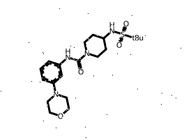 CC(C)(C)S(=O)(=O)NC1CCN(C(=O)Nc2cccc(N3CCOCC3)c2)CC1